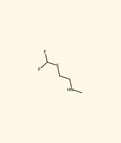 CNCCSC(F)F